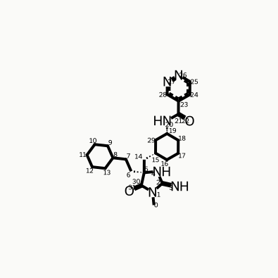 CN1C(=N)N[C@](CCC2CCCCC2)(C[C@H]2CCC[C@@H](NC(=O)c3ccnnc3)C2)C1=O